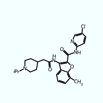 Cc1cccc2c(NC(=O)CC3CCN(C(C)C)CC3)c(C(=O)Nc3ccc(Cl)cn3)oc12